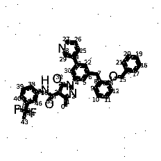 CC1=NN(c2cc(Cc3ccccc3OCc3ccccc3)cc(-c3cccnc3)c2)C(=O)C1C(=O)Nc1cccc(C(C)(F)F)c1